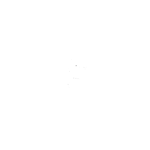 CC[C@H](C(=O)OC)C(CO)CO